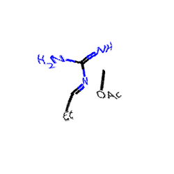 CCC=NC(=N)N.COC(C)=O